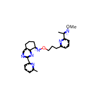 CO/N=C(\C)c1cccc(CCCO/N=C2\CCCc3cnc(-c4cccc(C)n4)nc32)n1